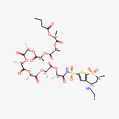 CCCC(=O)O[C@@H](C)C(=O)O[C@@H](C)C(=O)O[C@@H](C)C(=O)O[C@@H](C)C(=O)O[C@@H](C)C(=O)O[C@@H](C)C(=O)O[C@@H](C)C(=O)O[C@@H](C)C(=O)NS(=O)(=O)c1cc2c(s1)S(=O)(=O)[C@@H](C)C[C@@H]2NCC